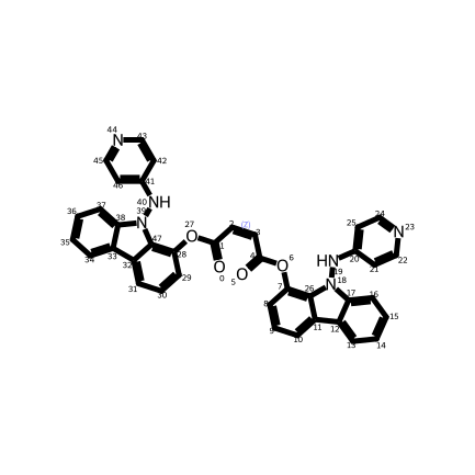 O=C(/C=C\C(=O)Oc1cccc2c3ccccc3n(Nc3ccncc3)c12)Oc1cccc2c3ccccc3n(Nc3ccncc3)c12